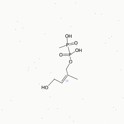 C/C(=C/CO)COP(=O)(O)P(C)(=O)O